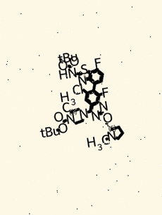 C[C@@H]1CN(c2nc(OC[C@@H]3CCCN3C)nc3c(F)c(-c4ccc(F)c5sc(NC(=O)OC(C)(C)C)nc45)c(Cl)cc23)CCN1C(=O)OC(C)(C)C